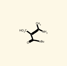 CCCCC(=O)C(C(=O)O)=C(C)N